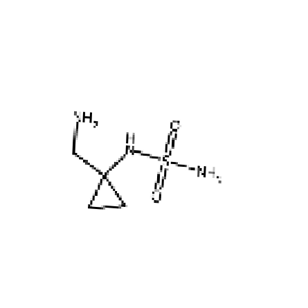 NCC1(NS(N)(=O)=O)CC1